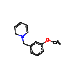 COc1cccc(CN2C=CC=CC2)c1